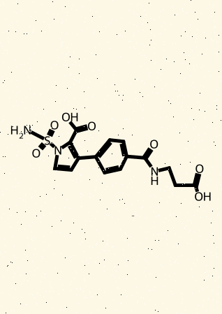 NS(=O)(=O)n1ccc(-c2ccc(C(=O)NCCC(=O)O)cc2)c1C(=O)O